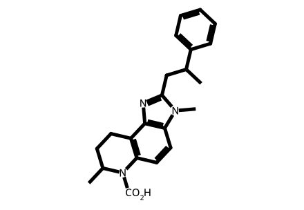 CC(Cc1nc2c3c(ccc2n1C)N(C(=O)O)C(C)CC3)c1ccccc1